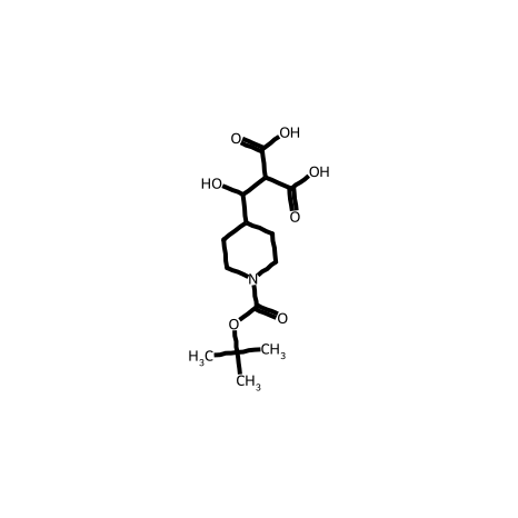 CC(C)(C)OC(=O)N1CCC(C(O)C(C(=O)O)C(=O)O)CC1